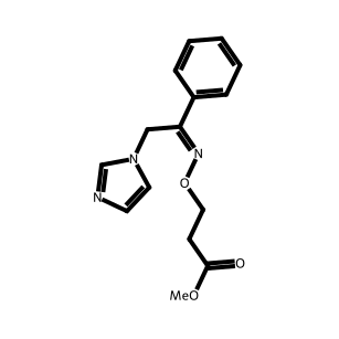 COC(=O)CCON=C(Cn1ccnc1)c1ccccc1